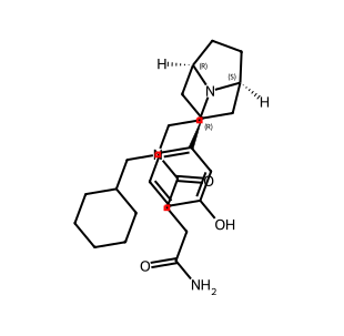 NC(=O)CCC(=O)N(CCN1[C@@H]2CC[C@H]1C[C@@H](c1cccc(O)c1)C2)CC1CCCCC1